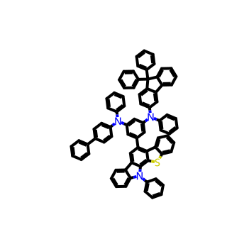 c1ccc(-c2ccc(N(c3ccccc3)c3cc(-c4cc5c6ccccc6n(-c6ccccc6)c5c5sc6ccccc6c45)cc(N(c4ccccc4)c4ccc5c(c4)-c4ccccc4C5(c4ccccc4)c4ccccc4)c3)cc2)cc1